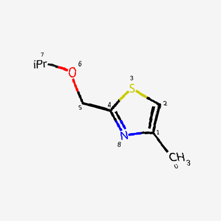 Cc1csc(COC(C)C)n1